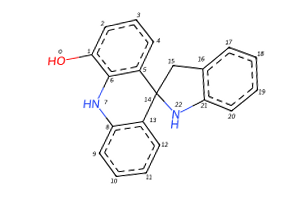 Oc1cccc2c1Nc1ccccc1C21Cc2ccccc2N1